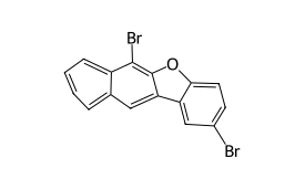 Brc1ccc2oc3c(Br)c4ccccc4cc3c2c1